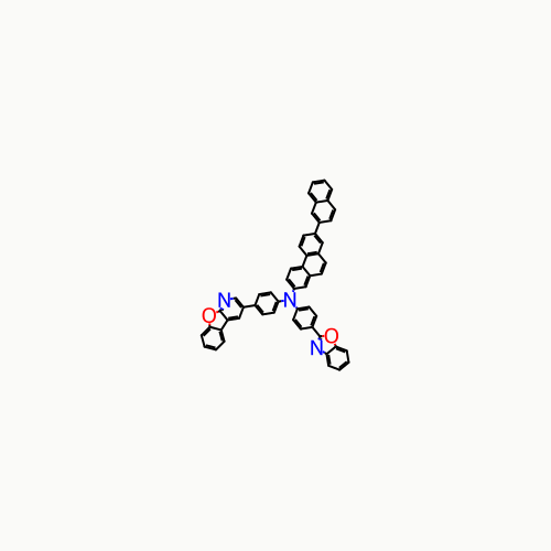 c1ccc2cc(-c3ccc4c(ccc5cc(N(c6ccc(-c7cnc8oc9ccccc9c8c7)cc6)c6ccc(-c7nc8ccccc8o7)cc6)ccc54)c3)ccc2c1